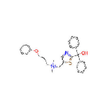 C[N+](C)(CCCOc1ccccc1)Cc1cnc(C(O)(c2ccccc2)c2ccccc2)s1